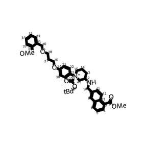 COC(=O)c1cccc2cc(CNC3CCC[N+](C(=O)OC(C)(C)C)(c4ccc(OCCCOCc5ccccc5OC)cc4)C3)ccc12